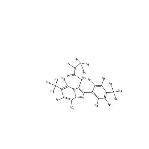 [2H]c1c([2H])c(C([2H])([2H])[2H])c([2H])c([2H])c1-c1nc2c([2H])c([2H])c(C([2H])([2H])[2H])c([2H])n2c1C([2H])C(=O)N(C)C([2H])([2H])[2H]